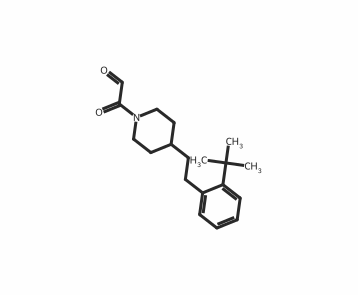 CC(C)(C)c1ccccc1CCC1CCN(C(=O)C=O)CC1